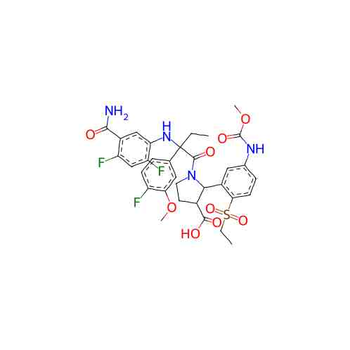 CCC(Nc1cc(C(N)=O)c(F)cc1F)(C(=O)N1CCC(C(=O)O)C1c1cc(NC(=O)OC)ccc1S(=O)(=O)CC)c1ccc(F)c(OC)c1